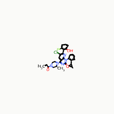 C=CC(=O)N1CCN(c2nc(=O)n(-c3ccccc3C3CC3)c3nc(-c4c(O)cccc4F)c(Cl)cc23)[C@@H](C)C1